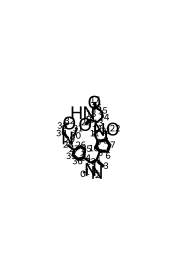 Cn1ncc(-c2ccc3c(c2)CN(C2CCC(=O)NC2=O)C3=O)c1-c1ccc(CN2CCOCC2)cc1